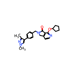 Cc1nn(C)cc1-c1ccc(CN2Cc3ccnc(OC4CCCC4)c3C2=O)cc1